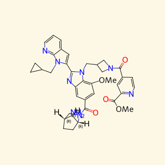 COC(=O)c1cc(C(=O)N2CC(Cn3c(-c4cc5cccnc5n4CC4CC4)nc4cc(C(=O)N5C[C@H]6CC[C@@H]5[C@@H]6N)cc(OC)c43)C2)ccn1